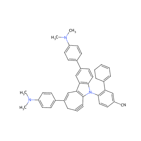 CN(C)c1ccc(C2=Cc3c(n(-c4ccc(C#N)cc4C4=CC=CCC4)c4ccc(-c5ccc(N(C)C)cc5)cc34)C#CC2)cc1